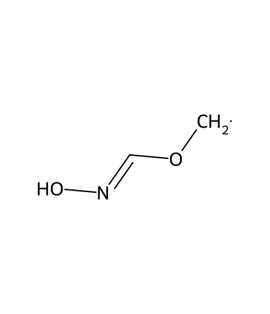 [CH2]OC=NO